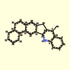 Cc1c2c(nc3ccccc13)-c1cc3c(ccc4ccccc43)cc1C2